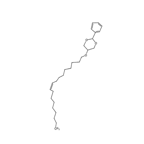 CCCCCCCC/C=C\CCCCCCCCOC1COC(c2ccccc2)OC1